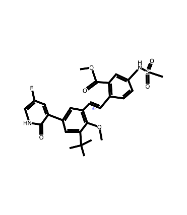 COC(=O)c1cc(NS(C)(=O)=O)ccc1/C=C/c1cc(-c2cc(F)c[nH]c2=O)cc(C(C)(C)C)c1OC